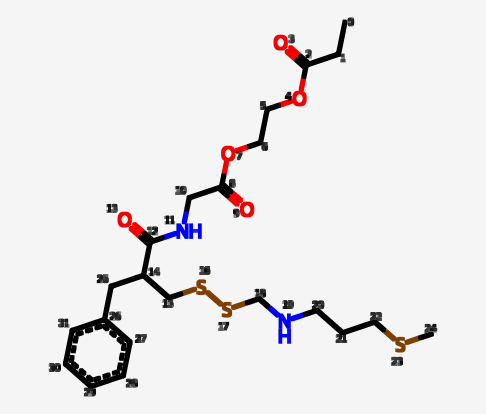 CCC(=O)OCCOC(=O)CNC(=O)C(CSSCNCCCSC)Cc1ccccc1